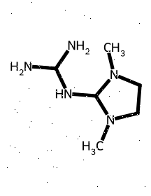 CN1CCN(C)C1NC(N)N